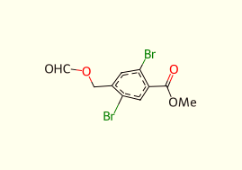 COC(=O)c1cc(Br)c(COC=O)cc1Br